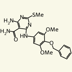 COc1cc(Nc2nc(SC)nc(N)c2C(N)=O)cc(OC)c1OCc1ccccc1